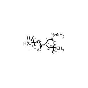 CC(C)(C)OC(=O)N1C[C@H](CN)OC(C)(C)C1